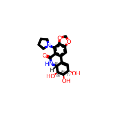 O=C1N[C@@H]2C(=C[C@H](O)[C@@H](O)[C@H]2O)c2cc3c(c(N4CCCC4)c21)OCO3